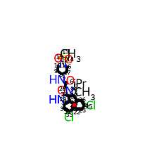 CC(C)C(C)N(CC(=O)NC1CCN(S(C)(=O)=O)CC1)C1(Cc2cccc(Cl)c2)C(=O)Nc2cc(Cl)ccc21